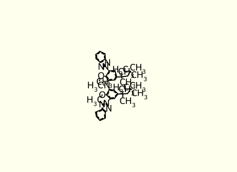 COc1c(N(C)c2cc(C(C)(C)CC(C)(C)C)cc(-n3nc4ccccc4n3)c2OC)cc(C(C)(C)CC(C)(C)C)cc1-n1nc2ccccc2n1